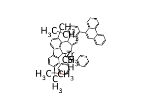 CCCC1=Cc2c(-c3cc4ccccc4c4ccccc34)cccc2C1c1c(C(C)(C)C)ccc2c1[CH]([Zr][SiH](c1ccccc1)c1ccccc1)c1cc(C(C)(C)C)ccc1-2